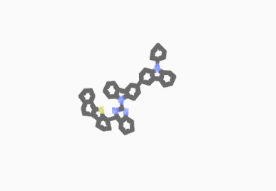 c1ccc(-n2c3ccccc3c3cc(-c4ccc5c(c4)c4ccccc4n5-c4nc(-c5cccc6c5sc5c7ccccc7ccc65)c5ccccc5n4)ccc32)cc1